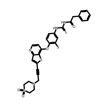 O=C(Cc1ccccc1)NC(=S)Nc1ccc(Oc2ccnc3cc(C#CCN4CCS(=O)(=O)CC4)sc23)c(F)c1